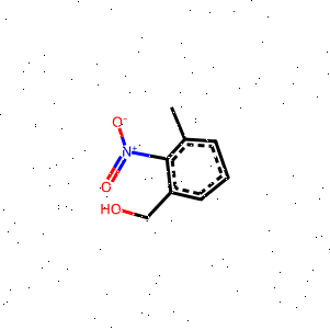 Cc1cccc([CH]O)c1[N+](=O)[O-]